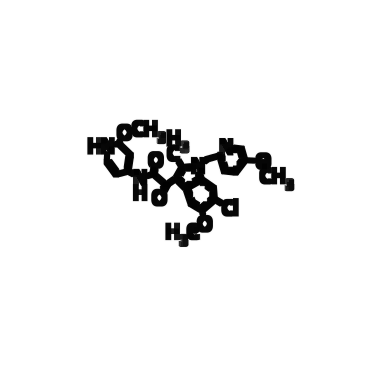 COc1ccc(Cn2c(C)c(C(=O)C(=O)NC3=CC(OC)NC=C3)c3cc(OC)c(Cl)cc32)nc1